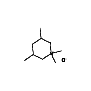 CC1CC(C)C[N+](C)(C)C1.[Cl-]